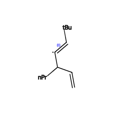 C=CC(/[C]=C/C(C)(C)C)CCC